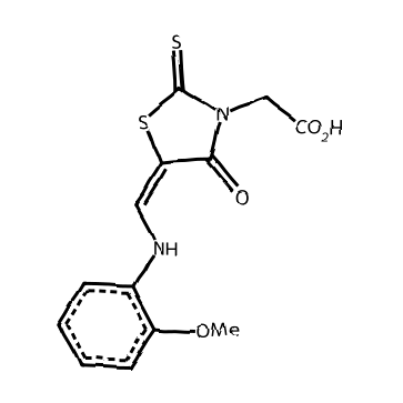 COc1ccccc1NC=C1SC(=S)N(CC(=O)O)C1=O